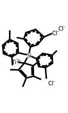 CC1=C(C)[C]([Ti+3])([Si](c2cc(C)cc(C)c2)(c2cc(C)ccc2C)c2cc(C)ccc2C)C(C)=C1C.[Cl-].[Cl-].[Cl-]